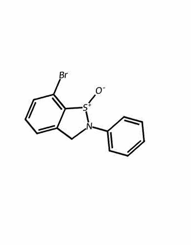 [O-][S+]1c2c(Br)cccc2CN1c1ccccc1